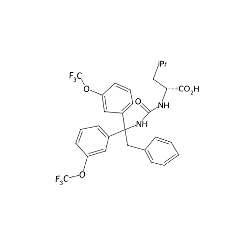 CC(C)C[C@@H](NC(=O)NC(Cc1ccccc1)(c1cccc(OC(F)(F)F)c1)c1cccc(OC(F)(F)F)c1)C(=O)O